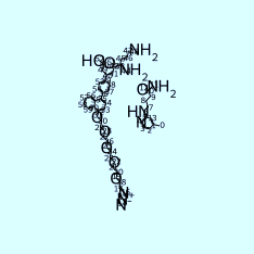 Cc1ccnc(NCCCC(N)=O)c1.[N-]=[N+]=NCCOCCOCCOCCOCCOc1ccc(-c2ccc(C(CC[C@H](N)CCCN)CC(=O)O)cc2)c2ccccc12